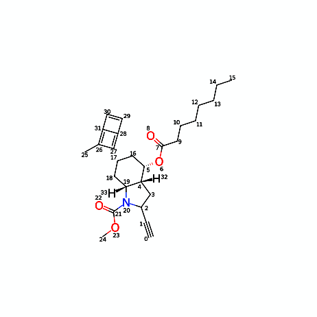 C#CC1C[C@H]2[C@@H](OC(=O)CCCCCCC)CCC[C@H]2N1C(=O)OC.Cc1cc2ccc1-2